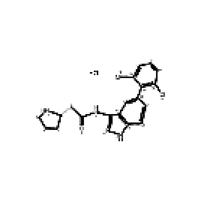 Cl.O=C(C[C@@H]1CCCN1)Nc1n[nH]c2ccc(-c3c(Cl)cccc3Cl)cc12